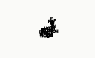 O=C([C@@H]1O[C@H](CO)[C@H](O)[C@H](n2cc(-c3cc(F)c(F)c(F)c3)nn2)[C@H]1O)N(Cc1ncccc1C(F)(F)F)[C@H]1CCCC[C@@H]1O